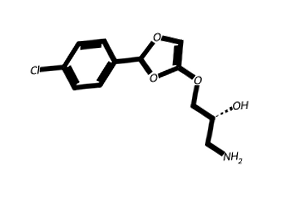 NC[C@@H](O)COC1=COC(c2ccc(Cl)cc2)O1